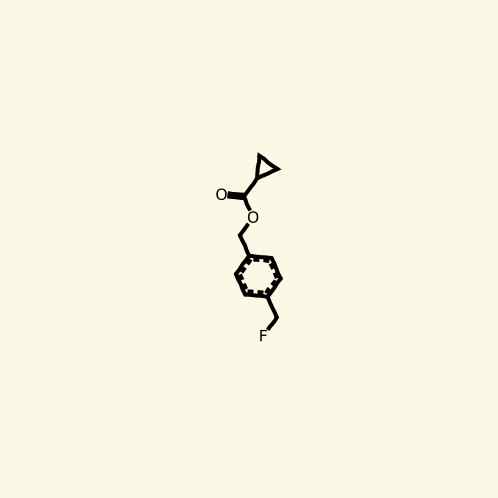 O=C(OCc1ccc(CF)cc1)C1CC1